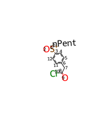 CCCCC[S+]([O-])c1ccc(CC(=O)Cl)cc1